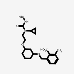 CCCCNC(=O)N(CCOC1CCCC(OCc2cccc(C)c2C(=O)O)C1)C1CC1